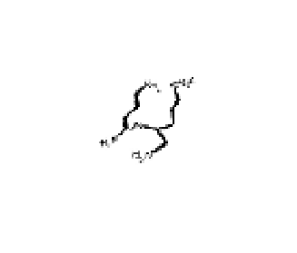 CCCCCCCCCCC(N)CN.NCCCCN